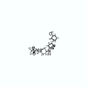 COc1cccc(-c2ccc(N[C@H]3CC[C@H](CNS(=O)(=O)C(C)C)CC3)nn2)c1